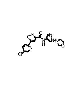 O=C(Nc1cnn(N2CCOC2)c1)c1cc(-c2ccc(Cl)cn2)on1